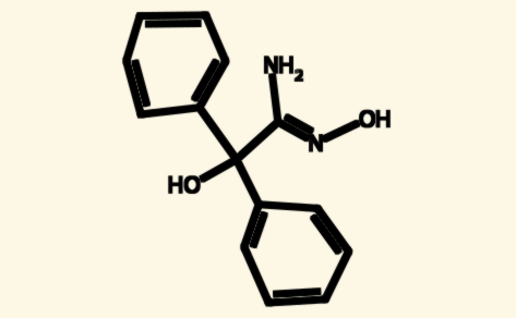 NC(=NO)C(O)(c1ccccc1)c1ccccc1